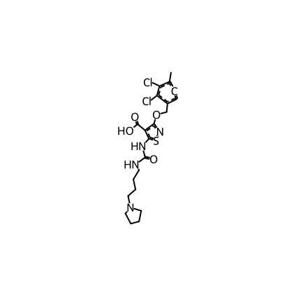 Cc1ccc(COc2nsc(NC(=O)NCCCCN3CCCC3)c2C(=O)O)c(Cl)c1Cl